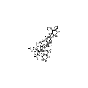 CC(C)(C)[S@@+]([O-])N[C@@H]1c2ccccc2CC12CCN(c1ncc(Sc3cccc(Cl)c3Cl)nc1C#N)CC2